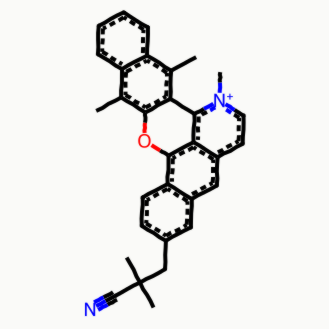 Cc1c2c(c(C)c3ccccc13)-c1c3c(c4ccc(CC(C)(C)C#N)cc4cc3cc[n+]1C)O2